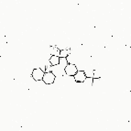 CC(C)[C@]1(C(=O)N2CCc3ccc(C(F)(F)F)cc3C2)CC[C@@H](N2CCCC3COCC[C@@H]32)C1